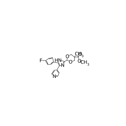 COC(=O)C1(C)COC(c2nc(-c3ccncc3)c(-c3ccc(F)cc3)[nH]2)OC1